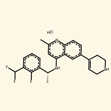 Cc1cc(N[C@H](C)c2cccc(C(F)F)c2F)c2cc(C3=CCNCC3)ccc2n1.Cl